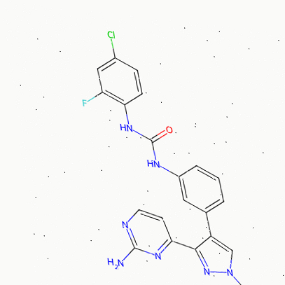 CCn1cc(-c2cccc(NC(=O)Nc3ccc(Cl)cc3F)c2)c(-c2ccnc(N)n2)n1